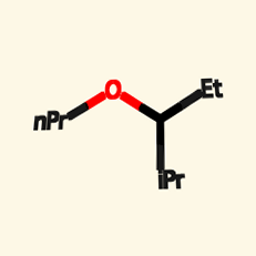 CCCOC(CC)C(C)C